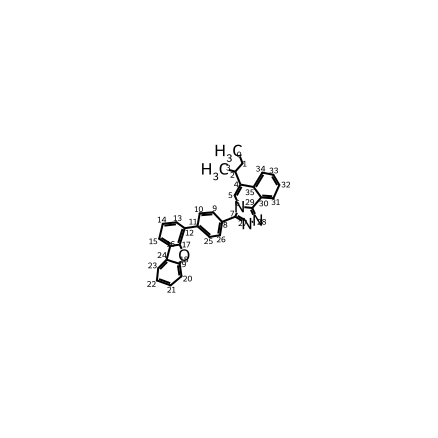 CCC(C)c1cn2c(-c3ccc(-c4cccc5c4oc4ccccc45)cc3)nnc2c2ccccc12